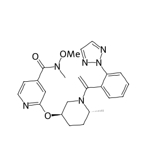 C=C(c1ccccc1-n1nccn1)N1C[C@H](Oc2cc(C(=O)N(C)OC)ccn2)CC[C@H]1C